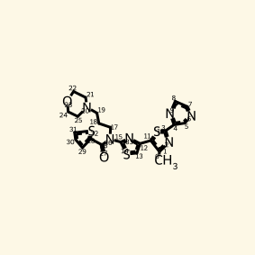 Cc1nc(-c2cnccn2)sc1-c1csc(N(CCCN2CCOCC2)C(=O)c2cccs2)n1